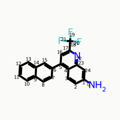 Nc1ccc2c(-c3ccc4ccccc4c3)cc(C(F)(F)F)nc2c1